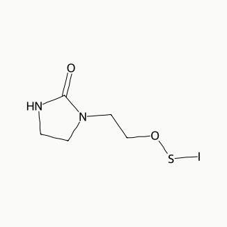 O=C1NCCN1CCOSI